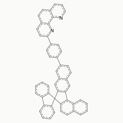 c1ccc2c(c1)-c1ccccc1C21c2cc3cc(-c4ccc(-c5ccc6ccc7cccnc7c6n5)cc4)ccc3cc2-c2c1ccc1ccccc21